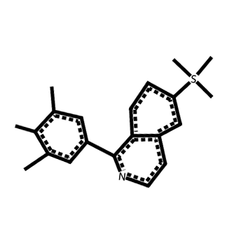 Cc1cc(-c2nccc3cc(S(C)(C)C)ccc23)cc(C)c1C